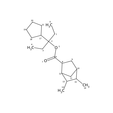 CCC(CC)(OC(=O)C1CC2CC1C(C)C2C)C1CCCC1